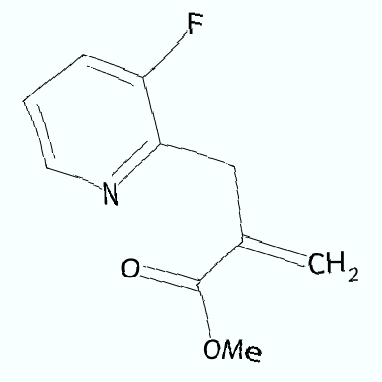 C=C(Cc1ncccc1F)C(=O)OC